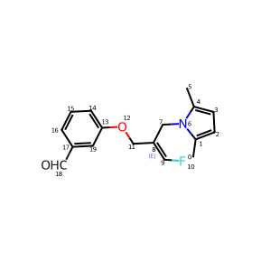 Cc1ccc(C)n1C/C(=C\F)COc1cccc(C=O)c1